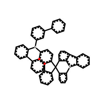 c1ccc(-c2cccc(N(c3ccc4c(c3)-c3ccccc3C43c4ccccc4-n4c5ccccc5c5cccc3c54)c3ccccc3-c3ccccc3)c2)cc1